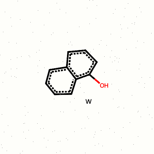 Oc1cccc2ccccc12.[W]